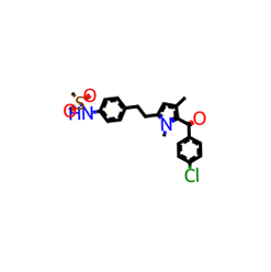 Cc1cc(CCc2ccc(NS(C)(=O)=O)cc2)n(C)c1C(=O)c1ccc(Cl)cc1